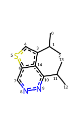 CC(C)c1csc2cnnc(C(C)C)c12